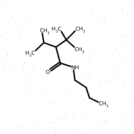 CCCCNC(=O)C(C(C)C)C(C)(C)C